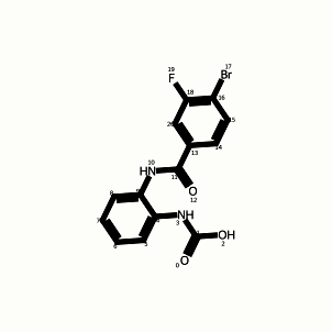 O=C(O)Nc1ccccc1NC(=O)c1ccc(Br)c(F)c1